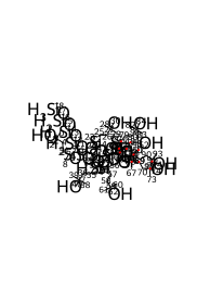 CC(C)(O)CC[Si](C)(C)O[SiH](O[SiH2]O[SiH2]O[SiH2]O[SiH3])O[Si](O[Si](C)(C)CCC(C)(C)O)(O[Si](C)(C)CCC(C)(C)O)O[Si](O[Si](C)(C)CCC(C)(C)O)(O[Si](C)(C)CCC(C)(C)O)O[Si](O[Si](C)(C)CCC(C)(C)O)(O[Si](C)(C)CCC(C)(C)O)O[Si](C)(C)CCC(C)(C)O